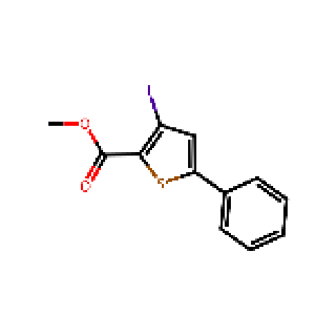 COC(=O)c1sc(-c2ccccc2)cc1I